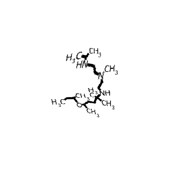 CCC(C)OC(C)CCC(C)(C)NCCN(C)CCNC(C)C